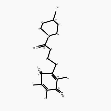 CC1=C(C)C(=O)C(CCCC(=O)N2CCC(F)CC2)=C(C)C1=O